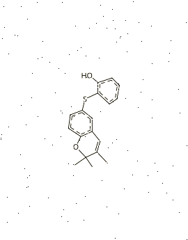 CC1=Cc2cc(Sc3ccccc3O)ccc2OC1(C)C